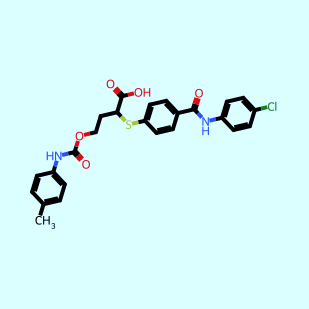 Cc1ccc(NC(=O)OCCC(Sc2ccc(C(=O)Nc3ccc(Cl)cc3)cc2)C(=O)O)cc1